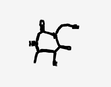 Cc1[nH]c(=O)n(CC(C)(C)C)c(=O)c1Br